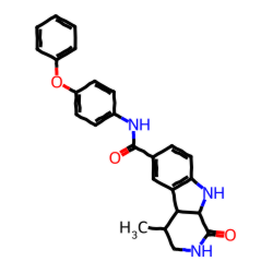 CC1CNC(=O)C2Nc3ccc(C(=O)Nc4ccc(Oc5ccccc5)cc4)cc3C12